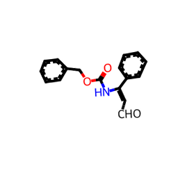 O=C/C=C(\NC(=O)OCc1ccccc1)c1ccccc1